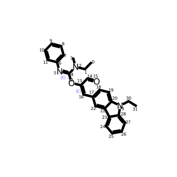 CCN(C)/C(=N\c1ccccc1)O/C(C=O)=C/c1ccc2c(c1)c1ccccc1n2CC